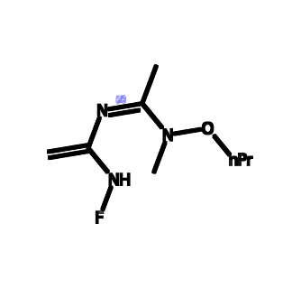 C=C(/N=C(/C)N(C)OCCC)NF